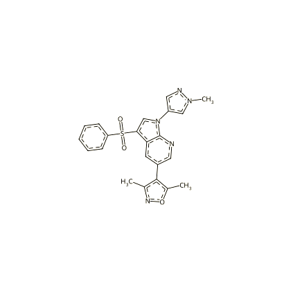 Cc1noc(C)c1-c1cnc2c(c1)c(S(=O)(=O)c1ccccc1)cn2-c1cnn(C)c1